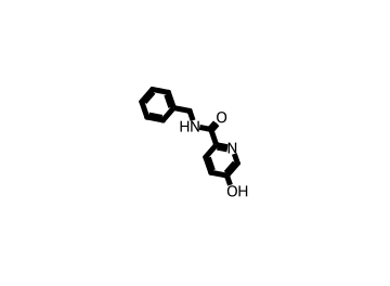 O=C(NCc1ccccc1)c1ccc(O)cn1